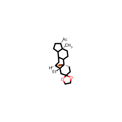 CC[C@]12CC3(CC[C@@]14CS[C@@H]2CC1C4CC[C@@]2(C)C1CC[C@@H]2C(C)=O)OCCO3